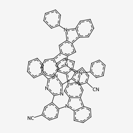 N#Cc1ccc(-n2c3ccccc3c3cc4c(cc32)c2ccccc2n4-c2ccccc2)c(-c2nc(-c3ccccc3)nc(-c3cc(C#N)ccc3-n3c4ccccc4c4cc5c(cc43)c3ccccc3n5-c3ccccc3)n2)c1